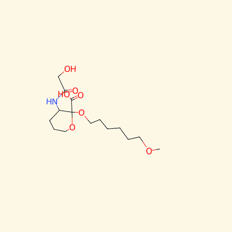 COCCCCCCOC1(C(=O)O)OCCCC1NC(=O)CO